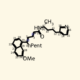 CCCCC/C(=C\C=C\C(=O)N[C@H](C)CCCc1cccnc1)c1cccc2ccc(OC)cc12